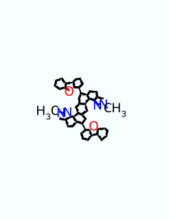 Cn1cc2ccc3c(-c4cccc5c4oc4ccccc45)cc4cc5c(cc(-c6cccc7c6oc6ccccc67)c6ccc7cn(C)nc7c65)cc4c3c2n1